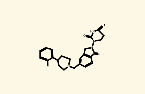 O=C1CCN(N2Cc3cc(CN4CCC(c5ccccc5Cl)CC4)ccc3C2=O)C(=O)N1